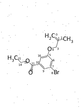 C=C(C)COc1cc(Br)cc(C(=O)OCC)c1